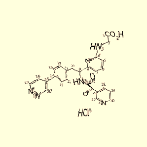 Cl.O=C(O)CNc1cccc(C(Cc2ccc(-c3ccnnc3)cc2)NS(=O)(=O)c2cccnc2)n1